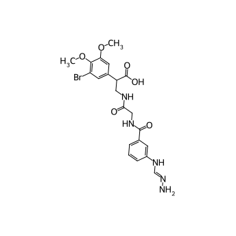 COc1cc(C(CNC(=O)CNC(=O)c2cccc(NC=NN)c2)C(=O)O)cc(Br)c1OC